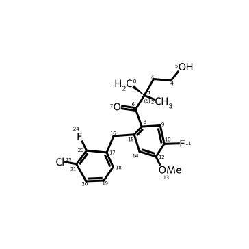 [CH2][C@](C)(CCO)C(=O)c1cc(F)c(OC)cc1Cc1cccc(Cl)c1F